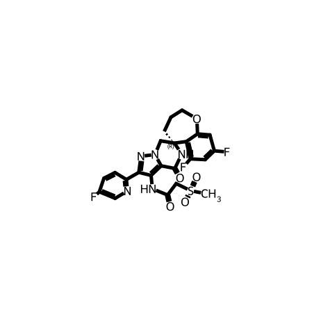 CS(=O)(=O)CC(=O)Nc1c(-c2ccc(F)cn2)nn2c1C(=O)N[C@@]1(CCCOc3cc(F)cc(F)c31)C2